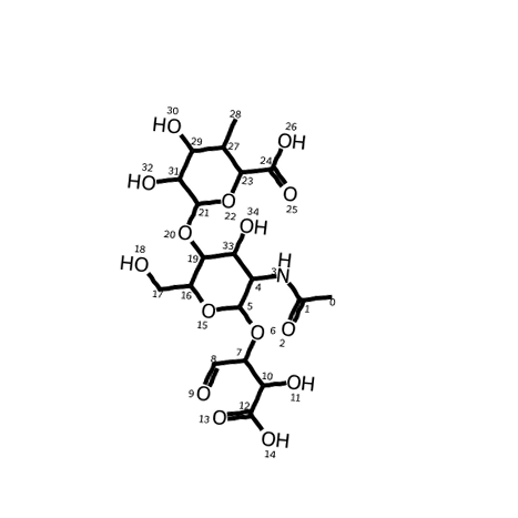 CC(=O)NC1C(OC(C=O)C(O)C(=O)O)OC(CO)C(OC2OC(C(=O)O)C(C)C(O)C2O)C1O